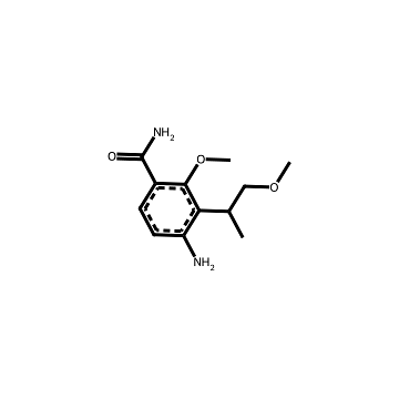 COCC(C)c1c(N)ccc(C(N)=O)c1OC